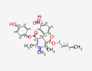 C=C/C=C/COC(=O)C1=C(C)N(C)C(C)=C(C(=O)Oc2ccc(O)cc2)C1c1cccc([N+](=O)[O-])c1